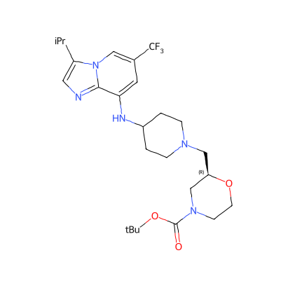 CC(C)c1cnc2c(NC3CCN(C[C@@H]4CN(C(=O)OC(C)(C)C)CCO4)CC3)cc(C(F)(F)F)cn12